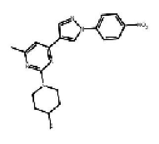 Cc1cc(-c2cnn(-c3ccc([N+](=O)[O-])cc3)c2)nc(N2CCC(F)CC2)n1